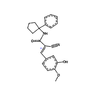 COc1ccc(/C=C(\C#N)C(=O)NC2(c3ccccc3)CCCC2)cc1O